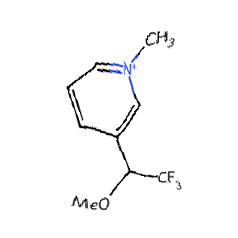 COC(c1ccc[n+](C)c1)C(F)(F)F